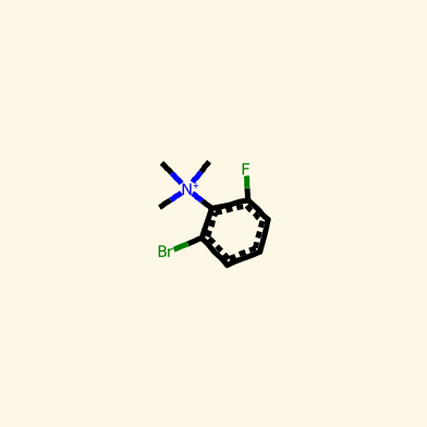 C[N+](C)(C)c1c(F)cccc1Br